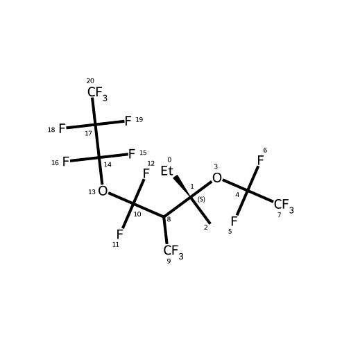 CC[C@](C)(OC(F)(F)C(F)(F)F)C(C(F)(F)F)C(F)(F)OC(F)(F)C(F)(F)C(F)(F)F